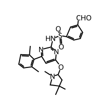 Cc1cccc(C)c1-c1cc(OC2CC(C)(C)CN2C)nc(NS(=O)(=O)c2cccc(C=O)c2)n1